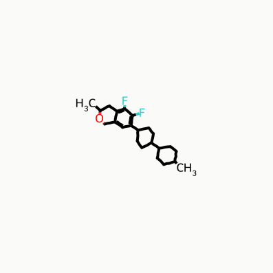 CC1CCC(C2CCC(c3cc4c(c(F)c3F)CC(C)OC4)CC2)CC1